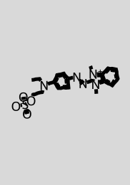 CCN(CCOS(=O)(=O)[O-])c1ccc(N=Nc2n(C)c3ccccc3[n+]2C)cc1